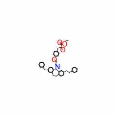 CCOC(=O)C(Cc1ccc(OCCN(C)C2c3ccc(Cc4ccccc4)cc3CCc3ccc(CCc4ccccc4)cc32)cc1)OC